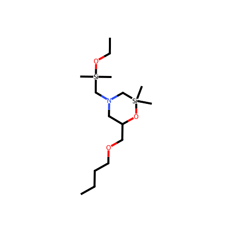 CCCCOCC1CN(C[Si](C)(C)OCC)C[Si](C)(C)O1